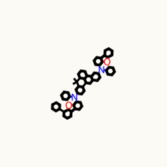 CC1(C)c2cc(N(c3ccccc3)c3cccc4c3oc3c(-c5ccccc5)cccc34)ccc2-c2cc3ccc(N(c4ccccc4)c4cccc5c4oc4ccccc45)cc3c3cccc1c23